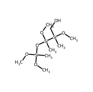 CO[Si](C)(OC)O[Si](C)(OC)[Si](C)(CO)OC